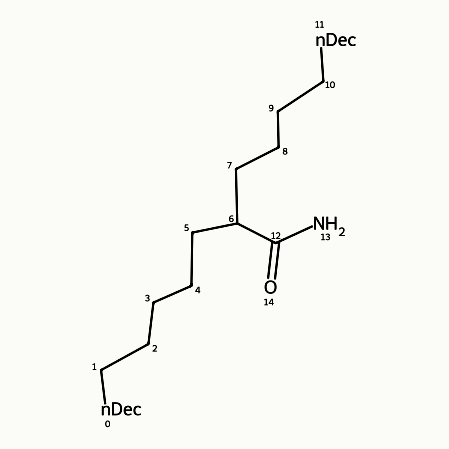 CCCCCCCCCCCCCCCC(CCCCCCCCCCCCCC)C(N)=O